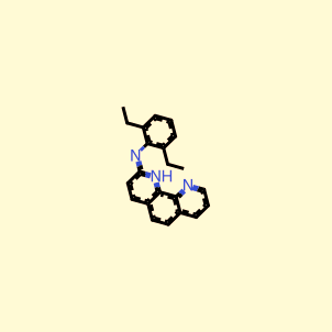 CCc1cccc(CC)c1/N=c1/ccc2ccc3cccnc3c2[nH]1